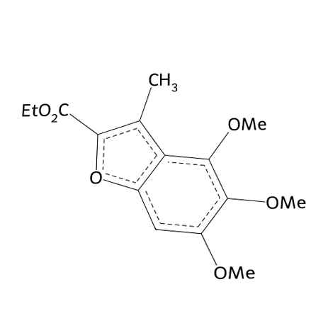 CCOC(=O)c1oc2cc(OC)c(OC)c(OC)c2c1C